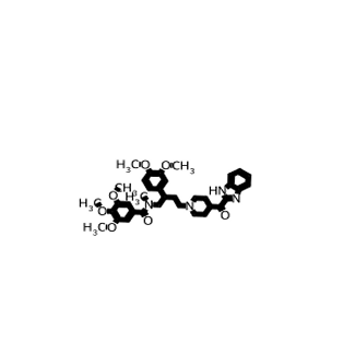 COc1ccc(C(CCN2CCC(C(=O)c3nc4ccccc4[nH]3)CC2)CN(C)C(=O)c2cc(OC)c(OC)c(OC)c2)cc1OC